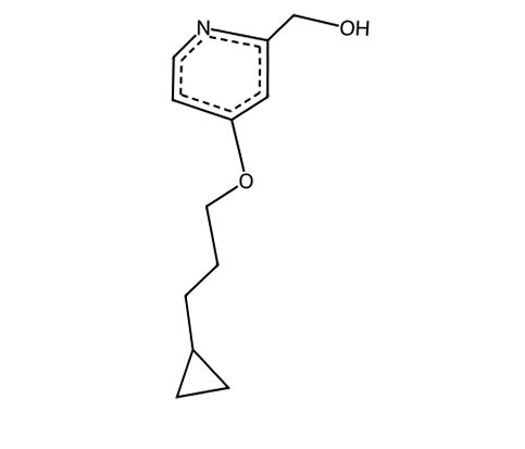 OCc1cc(OCCCC2CC2)ccn1